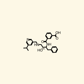 CC(C)c1cncc(CNC[C@@H](O)C(Cc2ccccc2)NC(=O)c2cccc(C(=O)O)c2)c1